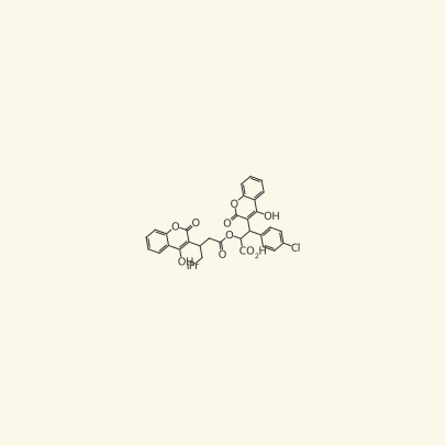 CC(C)CC(CC(=O)OC(C(=O)O)C(c1ccc(Cl)cc1)c1c(O)c2ccccc2oc1=O)c1c(O)c2ccccc2oc1=O